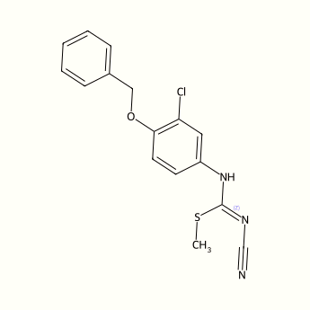 CS/C(=N\C#N)Nc1ccc(OCc2ccccc2)c(Cl)c1